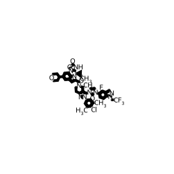 Cc1cc(-n2nc3c(c2-n2ccn(-c4ccc5c(cnn5CC(F)(F)F)c4F)c2=O)[C@H](C)N(C(=O)c2cc4cc(C5CCOCC5)ccc4n2[C@@]2(c4noc(=O)[nH]4)C[C@@H]2C)CC3)cc(C)c1Cl